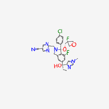 CCC(O)(c1cc(F)c2c(c1)CN(Cc1ncc(C#N)cn1)[C@@]2(OCC1(F)COC1)c1ccc(Cl)cc1)c1cn(C)cn1